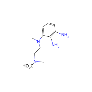 CN(CCN(C)c1cccc(N)c1N)C(=O)O